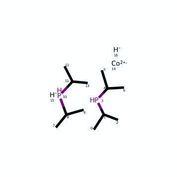 CC(C)PC(C)C.CC(C)PC(C)C.[Co+2].[H-].[H-]